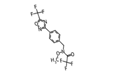 CON(Cc1ccc(-c2noc(C(F)(F)F)n2)cc1)C(=O)C(F)(F)F